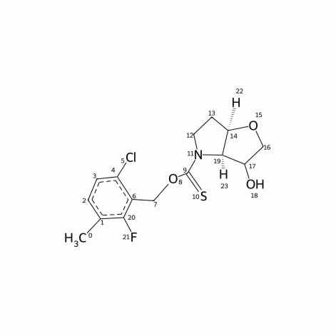 Cc1ccc(Cl)c(COC(=S)N2CC[C@H]3OCC(O)[C@H]32)c1F